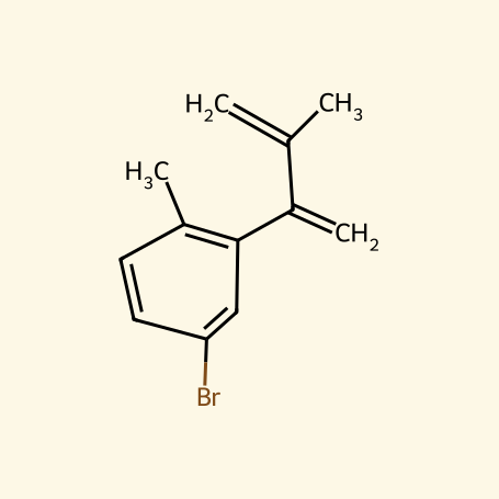 C=C(C)C(=C)c1cc(Br)ccc1C